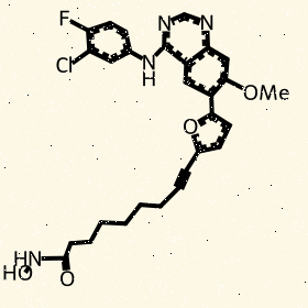 COc1cc2ncnc(Nc3ccc(F)c(Cl)c3)c2cc1-c1ccc(C#CCCCCCCC(=O)NO)o1